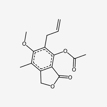 C=CCc1c(OC)c(C)c2c(c1OC(C)=O)C(=O)OC2